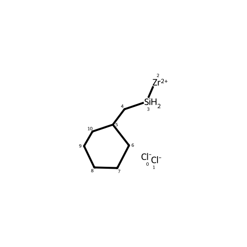 [Cl-].[Cl-].[Zr+2][SiH2]CC1CCCCC1